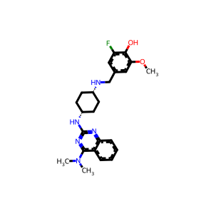 COc1cc(CN[C@H]2CC[C@@H](Nc3nc(N(C)C)c4ccccc4n3)CC2)cc(F)c1O